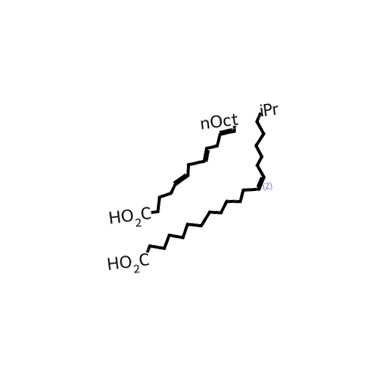 CC(C)CCCCC/C=C\CCCCCCCCCCCC(=O)O.CCCCCCCCC=CCC=CCC=CCCCC(=O)O